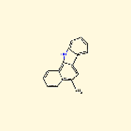 Cc1cc2c3ccccc3[nH]c2c2ccccc12